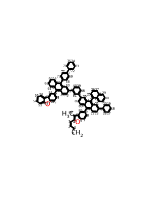 C=C/C=C\c1oc2ccc(-c3c4ccc(-c5ccccc5)cc4c(-c4cccc5ccccc45)c4cc(-c5cccc(-c6ccc7c(-c8ccc9oc%10ccccc%10c9c8)c8ccccc8c(-c8ccc(-c9ccccc9)cc8)c7c6)c5)ccc34)cc2c1C